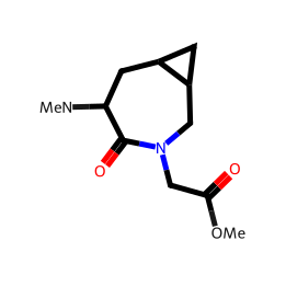 CNC1CC2CC2CN(CC(=O)OC)C1=O